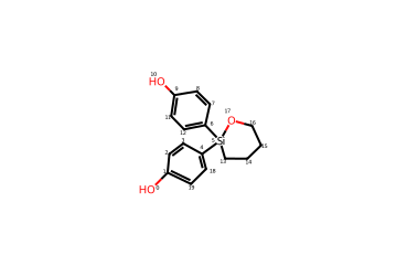 Oc1ccc([Si]2(c3ccc(O)cc3)CCCCO2)cc1